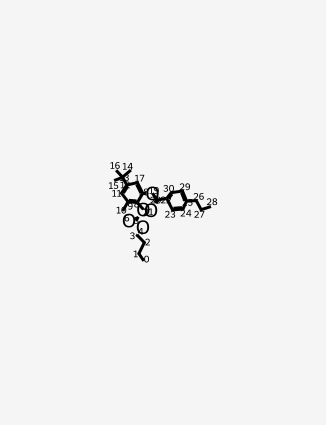 CCCCOC(=O)Oc1c(C)cc(C(C)(C)C)cc1OC(=O)c1ccc(CCC)cc1